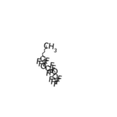 CCCCCc1cc(F)c(C(F)(F)Oc2cc(F)c(C(F)(F)Oc3cc(F)c(C(F)(F)F)c(F)c3)c(F)c2)c(F)c1